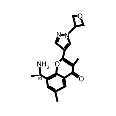 Cc1cc([C@@H](C)N)c2oc(-c3cnn(C4COC4)c3)c(C)c(=O)c2c1